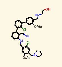 COc1cc(-c2cccc(-c3cccc(NCc4cc(OC)c(CN5CCCC5)cc4Cl)c3C=N)c2Cl)ccc1CNCCO